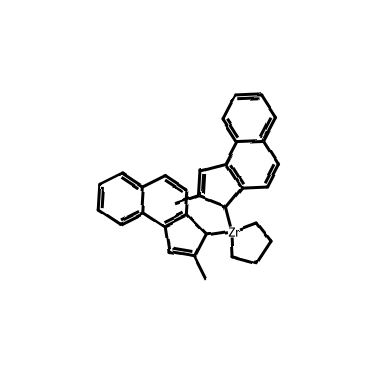 CC1=Cc2c(ccc3ccccc23)[CH]1[Zr]1([CH]2C(C)=Cc3c2ccc2ccccc32)[CH2]CC[CH2]1